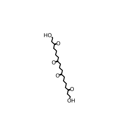 O=C(CCO)CCCCC(=O)CCCC(=O)CCCCC(=O)CCO